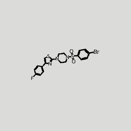 O=S(=O)(c1ccc(Br)cc1)N1CCN(c2nc(-c3ccc(F)cc3)cs2)CC1